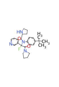 CC(C)(C)c1ccc(N(C(=O)C2CCCN2)C(F)(C(=O)N2CCCC2)c2cccnc2)cc1